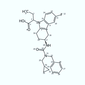 CCC(C(=O)O)n1c2c(c3cc(F)ccc31)C[C@@H](NC(=O)N(Cc1ccccc1)CC1CC1)CC2